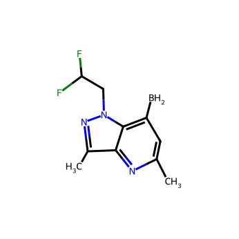 Bc1cc(C)nc2c(C)nn(CC(F)F)c12